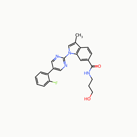 Cc1cn(-c2ncc(-c3ccccc3F)cn2)c2cc(C(=O)NCCCO)ccc12